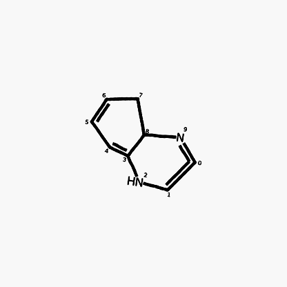 C1=CNC2=CC=CCC2N=1